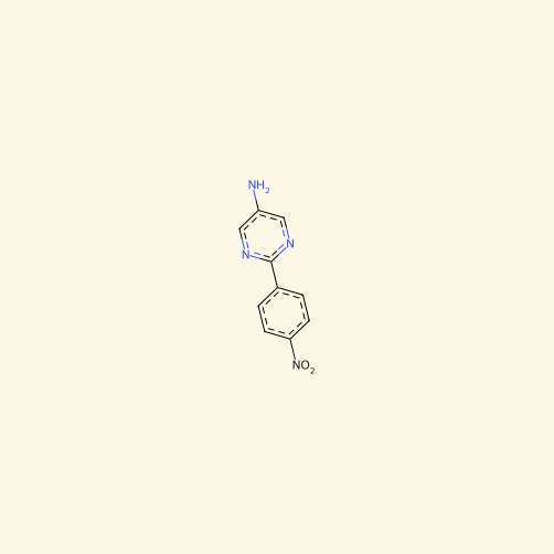 Nc1cnc(-c2ccc([N+](=O)[O-])cc2)nc1